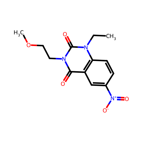 CCn1c(=O)n(CCOC)c(=O)c2cc([N+](=O)[O-])ccc21